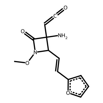 CON1C(=O)C(N)(C=C=O)C1C=Cc1ccco1